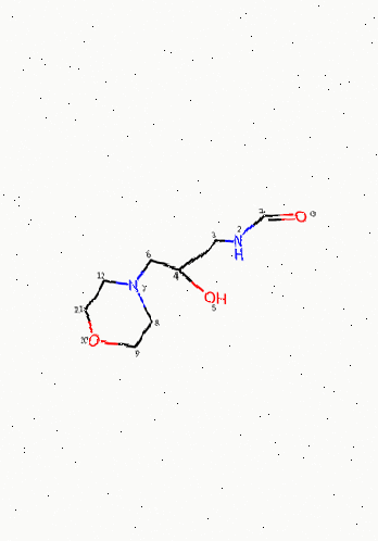 O=[C]NCC(O)CN1CCOCC1